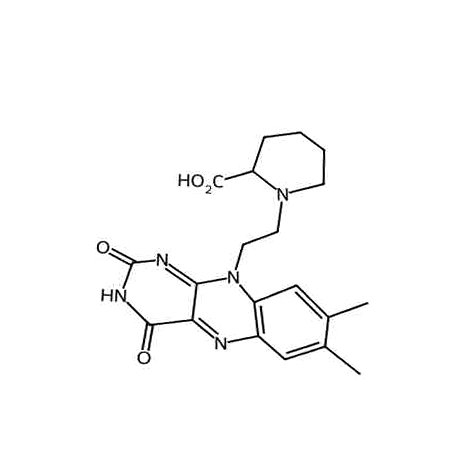 Cc1cc2nc3c(=O)[nH]c(=O)nc-3n(CCN3CCCCC3C(=O)O)c2cc1C